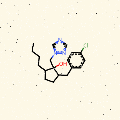 CCCCC1CCC(Cc2ccc(Cl)cc2)C1(O)Cn1cncn1